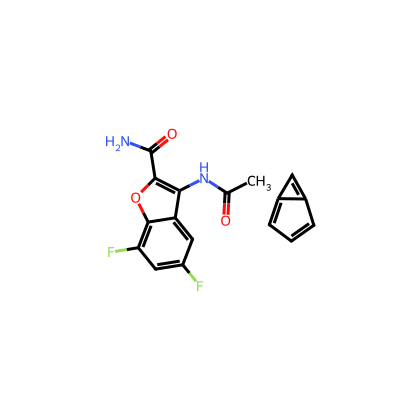 CC(=O)Nc1c(C(N)=O)oc2c(F)cc(F)cc12.c1cc2cc-2c1